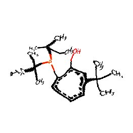 CC(C)(C)c1cccc(P(C(C)(C)C)C(C)(C)C)c1O